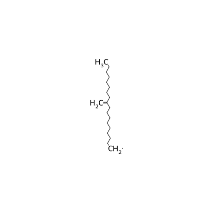 [CH2]CCCCCCCCC(=C)CCCCCCCC